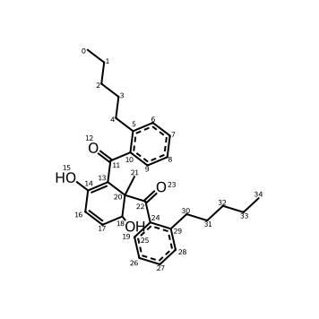 CCCCCc1ccccc1C(=O)C1=C(O)C=CC(O)C1(C)C(=O)c1ccccc1CCCCC